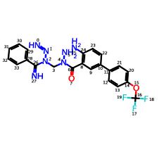 N=NN(CN(N)C(=O)c1cc(-c2ccc(OC(F)(F)F)cc2)ccc1N)C(=N)c1ccccc1